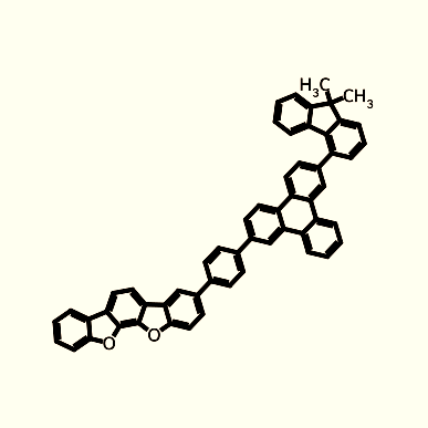 CC1(C)c2ccccc2-c2c(-c3ccc4c5ccc(-c6ccc(-c7ccc8oc9c(ccc%10c%11ccccc%11oc%109)c8c7)cc6)cc5c5ccccc5c4c3)cccc21